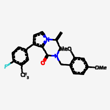 C=C1CN(Cc2ccc(OC)cc2OC)C(=O)c2c(-c3ccc(F)c(C(F)(F)F)c3)ccn21